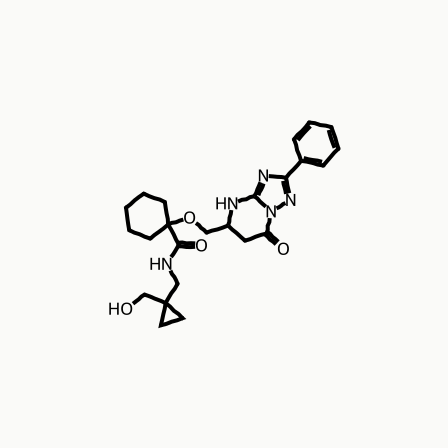 O=C1CC(COC2(C(=O)NCC3(CO)CC3)CCCCC2)Nc2nc(-c3ccccc3)nn21